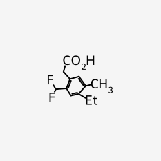 CCc1cc(C(F)F)c(CC(=O)O)cc1C